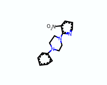 O=[N+]([O-])c1cccnc1N1CCN(c2ccccc2)CC1